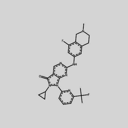 CN1CCc2cc(Nc3ncc4c(=O)n(C5CC5)n(-c5cccc(C(C)(C)F)n5)c4n3)cc(F)c2C1